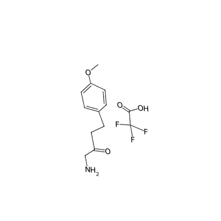 COc1ccc(CCC(=O)CN)cc1.O=C(O)C(F)(F)F